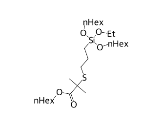 CCCCCCOC(=O)C(C)(C)SCCC[Si](OCC)(OCCCCCC)OCCCCCC